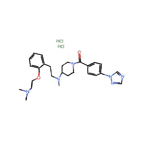 CN(C)CCOc1ccccc1CCN(C)C1CCN(C(=O)c2ccc(-n3cncn3)cc2)CC1.Cl.Cl